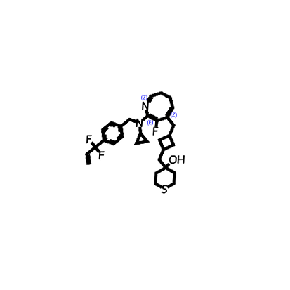 C=CC(F)(F)c1ccc(CN(C2=C(F)/C(CC3CC(CC4(O)CCSCC4)C3)=C\CC/C=N\2)C2CC2)cc1